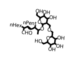 CCCCCCC(C=O)C=CC(CCCCC)C(C)OC1OC(CO)C(O)C(O)C1COCC1OC(CO)C(O)C(O)C1O